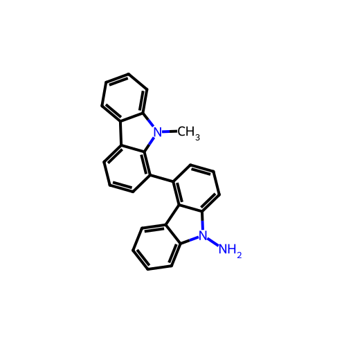 Cn1c2ccccc2c2cccc(-c3cccc4c3c3ccccc3n4N)c21